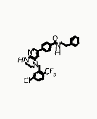 O=C(NCCc1ccccc1)c1ccc(-c2cnc3c(c2)N(Cc2cc(Cl)ccc2C(F)(F)F)CCN3)cc1